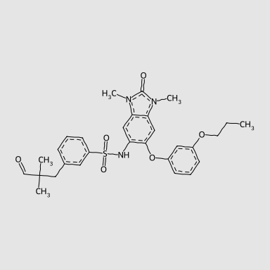 CCCOc1cccc(Oc2cc3c(cc2NS(=O)(=O)c2cccc(CC(C)(C)C=O)c2)n(C)c(=O)n3C)c1